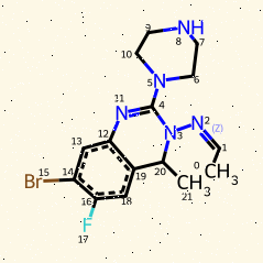 C/C=N\N1C(N2CCNCC2)=Nc2cc(Br)c(F)cc2C1C